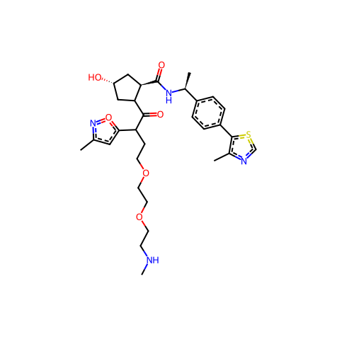 CNCCOCCOCCC(C(=O)C1C[C@H](O)C[C@H]1C(=O)N[C@@H](C)c1ccc(-c2scnc2C)cc1)c1cc(C)no1